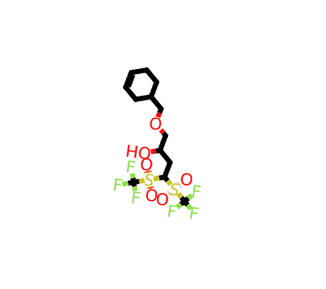 O=S(=O)(C(CC(O)COCC1CC=CCC1)S(=O)(=O)C(F)(F)F)C(F)(F)F